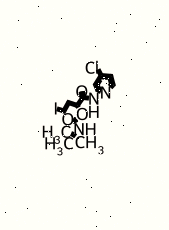 CC(C)(C)NC(=O)OC(CCI)C(=O)Nc1cc(Cl)ccn1